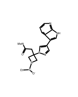 CC[S+]([O-])N1CC(CC(=O)NC)(n2cc(-c3c[nH]c4ncccc34)cn2)C1